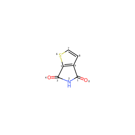 O=C1NC(=O)c2sccc21